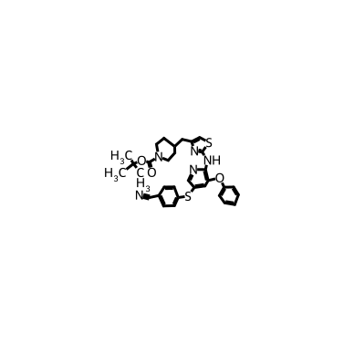 CC(C)(C)OC(=O)N1CCC(Cc2csc(Nc3ncc(Sc4ccc(C#N)cc4)cc3Oc3ccccc3)n2)CC1